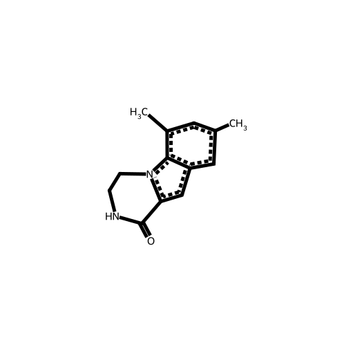 Cc1cc(C)c2c(c1)cc1n2CCNC1=O